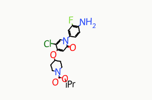 CC(C)OC(=O)N1CCC(Oc2cc(=O)n(-c3ccc(N)c(F)c3)cc2Cl)CC1